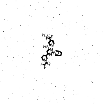 CC(F)(F)c1ccnc(Nc2cc(C3CCCN(C(=O)C(F)F)C3)nc(N3CC4CCC(C3)O4)n2)c1